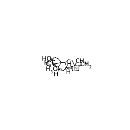 C=C1CC[C@H]2[C@@H]3C[C@H]4O[C@H](C)C5(CC[C@@](C)(O)CC45)C3CC[C@]12C